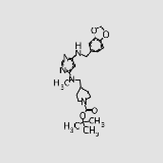 CN(CC1CCN(C(=O)OC(C)(C)C)CC1)c1cc(NCc2ccc3c(c2)OCO3)ncn1